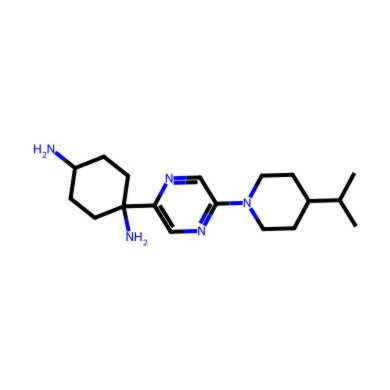 CC(C)C1CCN(c2cnc(C3(N)CCC(N)CC3)cn2)CC1